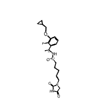 C[C@H](N[S+]([O-])CCCCCN1CC(=O)NC1=O)c1cccc(OCC2CC2)c1F